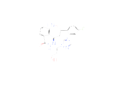 O=c1[nH]nc2c3c(cccc13)NOC(c1ccc(F)cc1)C2c1ncnn1CCCO